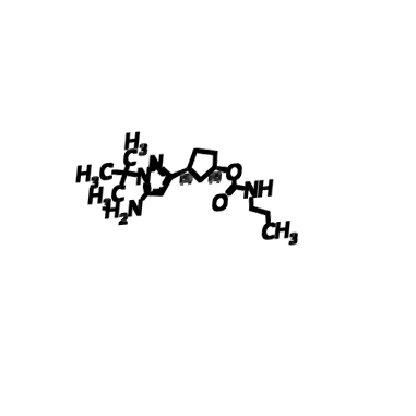 CCCNC(=O)O[C@@H]1CC[C@H](c2cc(N)n(C(C)(C)C)n2)C1